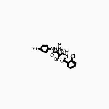 CCc1ccc(NC(=O)c2[nH]nc(NC(=O)c3ccccc3Cl)c2Br)cc1